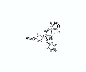 COC1CCC(n2c(Cc3ccc(F)cc3)nc3cc(-c4c(C)noc4C)ccc32)CC1